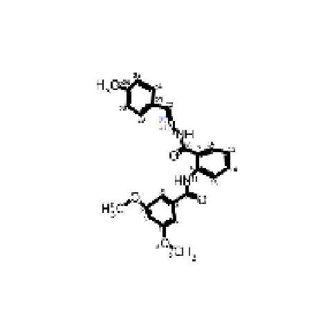 COc1cc(OC)cc(C(=O)Nc2ccccc2C(=O)N/N=C/c2ccc(C)cc2)c1